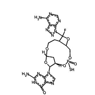 Nc1nc2c(ncn2C2O[C@H]3C[C@@H]2OP(=O)(S)OCC2OC(F)(n4nnc5c(N)ncnc54)C2CCO3)c(=O)[nH]1